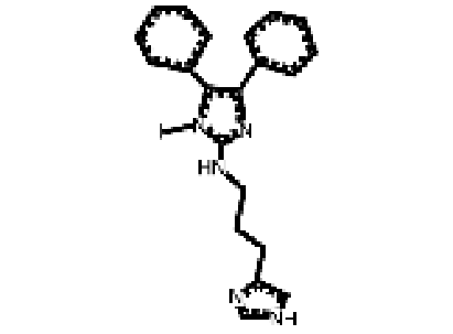 In1c(NCCCc2c[nH]cn2)nc(-c2ccccc2)c1-c1ccccc1